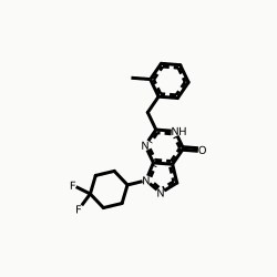 Cc1ccccc1Cc1nc2c(cnn2C2CCC(F)(F)CC2)c(=O)[nH]1